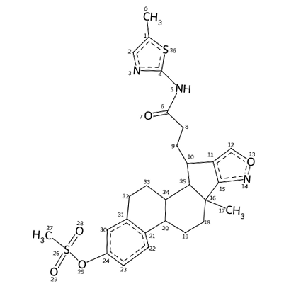 Cc1cnc(NC(=O)CCC2c3conc3C3(C)CCC4c5ccc(OS(C)(=O)=O)cc5CCC4C23)s1